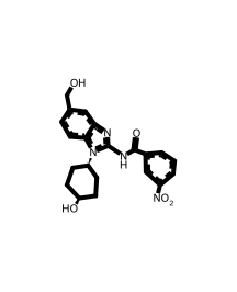 O=C(Nc1nc2cc(CO)ccc2n1[C@H]1CC[C@H](O)CC1)c1cccc([N+](=O)[O-])c1